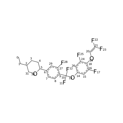 CCC1CCC(c2ccc(C(F)(F)Oc3cc(F)c(OC=C(F)F)c(F)c3)c(F)c2)OC1